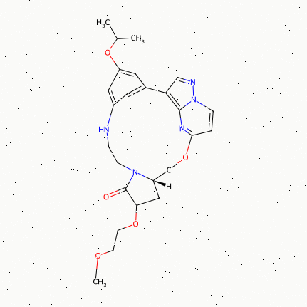 COCCOC1C[C@H]2COc3ccn4ncc(c4n3)-c3cc(cc(OC(C)C)c3)NCCN2C1=O